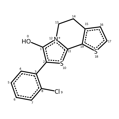 Oc1c(-c2ccccc2Cl)sc2[n+]1CCc1ccsc1-2